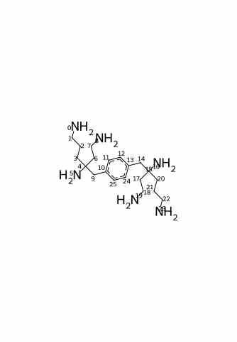 NCCCC(N)(CCN)Cc1ccc(CC(N)(CCN)CCCN)cc1